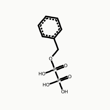 O=P(O)(O)P(=O)(O)OCc1ccccc1